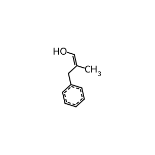 C/C(=C/O)Cc1ccccc1